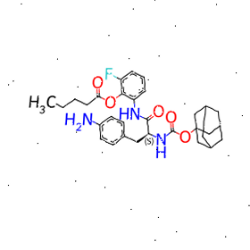 CCCCC(=O)Oc1c(F)cccc1NC(=O)[C@H](Cc1ccc(N)cc1)NC(=O)OC12CC3CC(CC(C3)C1)C2